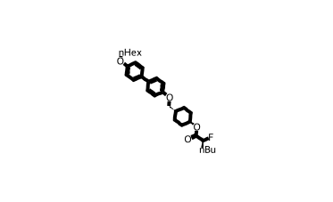 CCCCCCOc1ccc(-c2ccc(OC[C@H]3CC[C@H](OC(=O)[C@@H](F)CCCC)CC3)cc2)cc1